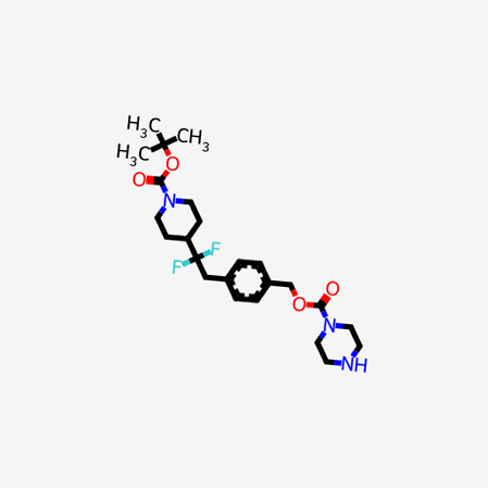 CC(C)(C)OC(=O)N1CCC(C(F)(F)Cc2ccc(COC(=O)N3CCNCC3)cc2)CC1